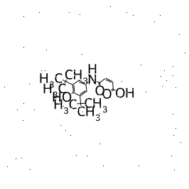 CC(C)(C)c1cc(NC(=O)/C=C\C(=O)O)cc(C(C)(C)C)c1O